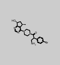 C[C@@H]1C[C@H](O)c2ncnc(N3CCN(C(=O)C(CN)c4ccc(Br)cc4)CC3)c21